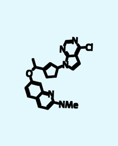 CNc1ccc2ccc(OC(C)C3=CC(n4ccc5c(Cl)ncnc54)CC3)cc2n1